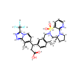 Cc1ccc(C(CC(=O)O)c2ccn3c(C(F)(F)F)nnc3c2C)cc1CN1C[C@H]2CCCN2c2ncccc2S1(=O)=O